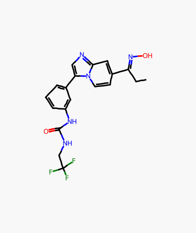 CCC(=NO)c1ccn2c(-c3cccc(NC(=O)NCC(F)(F)F)c3)cnc2c1